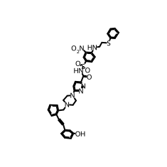 O=C(NS(=O)(=O)c1ccc(NCCSc2ccccc2)c([N+](=O)[O-])c1)c1ccc(N2CCN(Cc3ccccc3C#Cc3cccc(O)c3)CC2)nn1